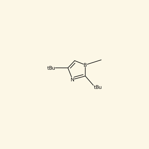 CB1C=C(C(C)(C)C)N=C1C(C)(C)C